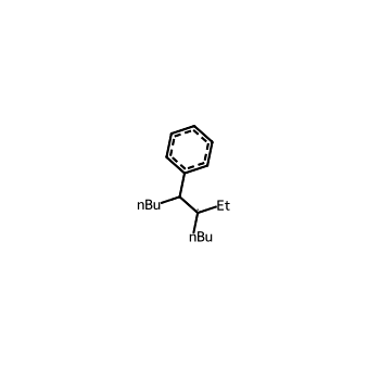 CCCC[C](CC)C(CCCC)c1ccccc1